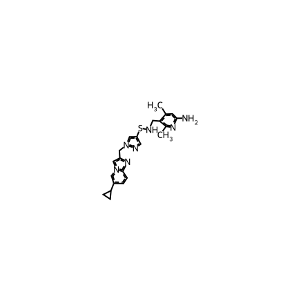 Cc1cc(N)nc(C)c1CNSc1cnn(Cc2cn3cc(C4CC4)ccc3n2)c1